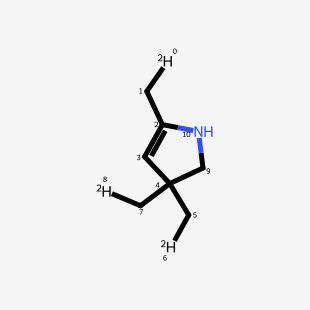 [2H]CC1=CC(C[2H])(C[2H])CN1